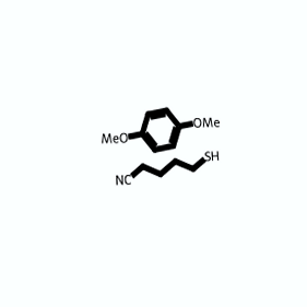 COc1ccc(OC)cc1.N#CCCCCS